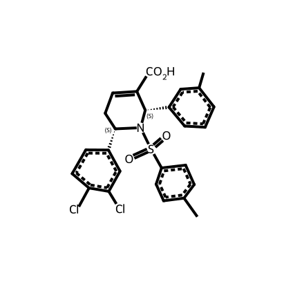 Cc1ccc(S(=O)(=O)N2[C@@H](c3cccc(C)c3)C(C(=O)O)=CC[C@H]2c2ccc(Cl)c(Cl)c2)cc1